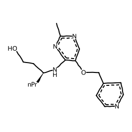 CCC[C@@H](CCO)Nc1nc(C)ncc1OCc1ccncc1